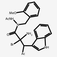 COc1ccccc1CN(NC(C)=O)C(=O)C(N)(Br)C(C(C)=O)c1c[nH]c2ccccc12